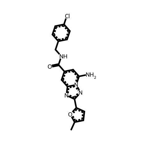 Cc1ccc(-c2nc3cc(C(=O)NCc4ccc(Cl)cc4)cc(N)n3n2)o1